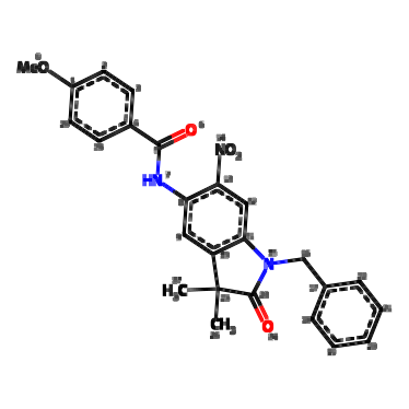 COc1ccc(C(=O)Nc2cc3c(cc2[N+](=O)[O-])N(Cc2ccccc2)C(=O)C3(C)C)cc1